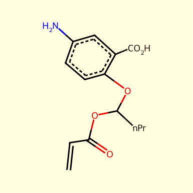 C=CC(=O)OC(CCC)Oc1ccc(N)cc1C(=O)O